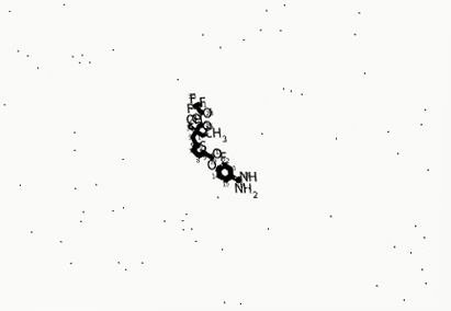 CCC(CC)(Cc1ccc(C(=O)Oc2ccc(C(=N)N)cc2F)s1)C(=O)OC(=O)C(F)(F)F